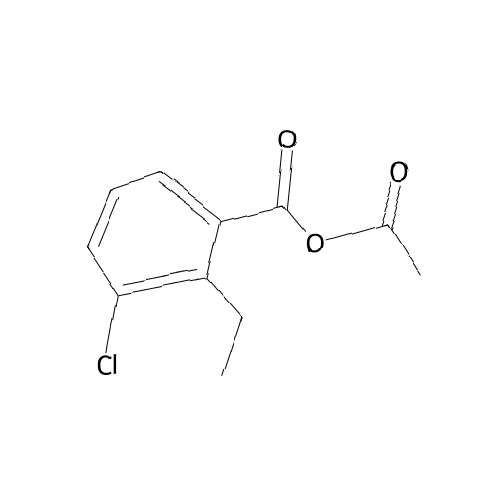 CCc1c(Cl)cccc1C(=O)OC(C)=O